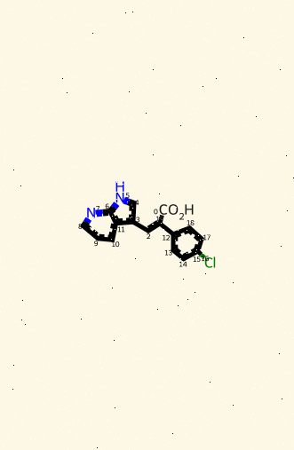 O=C(O)/C(=C\c1c[nH]c2ncccc12)c1ccc(Cl)cc1